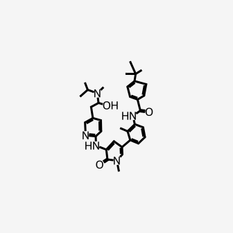 Cc1c(NC(=O)c2ccc(C(C)(C)C)cc2)cccc1-c1cc(Nc2ccc(CC(O)N(C)C(C)C)cn2)c(=O)n(C)c1